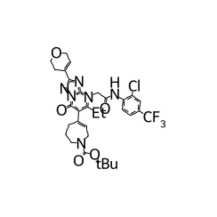 CCc1c(C2=CCN(C(=O)OC(C)(C)C)CCC2)c(=O)n2nc(C3=CCOCC3)nc2n1CC(=O)Nc1ccc(C(F)(F)F)cc1Cl